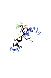 C[C@@]1(c2cc(-c3cncnc3)cs2)C[C@@H](C(F)F)OC(N)=N1